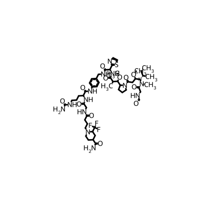 CCC(C)[C@@H](C(CC(=O)N1CCCC1C(OC)C(C)C(=O)NC(C(=O)NCc1ccc(NC(=O)C(CCCNC(N)=O)NC(=O)CNC(=O)CCCN2CCC(C(N)=O)CC2C(F)(F)F)cc1)c1nccs1)OC)N(C)C(=O)CNC=O